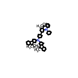 CC1(C)c2ccccc2-c2ccc(N(c3ccc(-c4ccc5c(c4)N(c4ccccc4)c4ccccc4C5(C)C)cc3)c3ccc4c(c3)C(C)(C)c3ccccc3-4)cc21